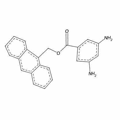 Nc1cc(N)cc(C(=O)OCc2c3ccccc3cc3ccccc23)c1